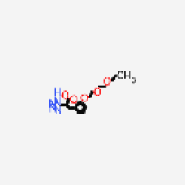 CCCOCCOCCOc1cccc2cc(-c3nnn[nH]3)c(=O)oc12